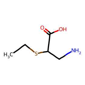 CCSC(CN)C(=O)O